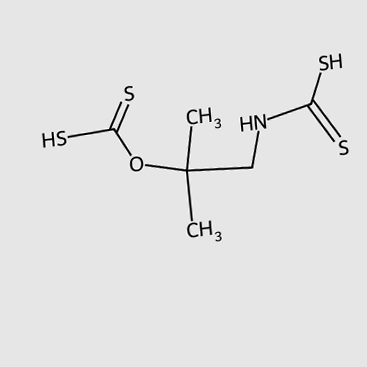 CC(C)(CNC(=S)S)OC(=S)S